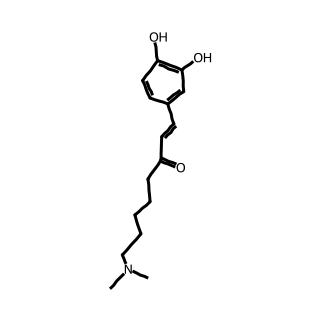 CN(C)CCCCCC(=O)C=Cc1ccc(O)c(O)c1